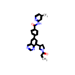 C=CC(=O)N1CCC(c2cc(-c3ccc(C(=O)Nc4cc(C(F)(F)F)ccn4)cc3)cc3cncnc23)C1